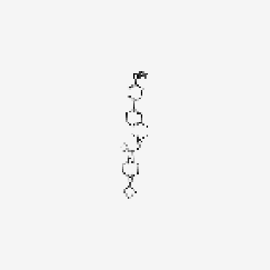 CCCc1ccc(-c2ccc3c(c2)CCN(CC(=O)N2CCN(C4CCC4)CC2)C3)cc1